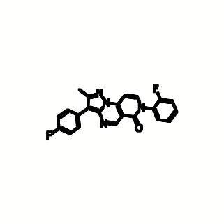 Cc1nn2c(ncc3c(=O)n(-c4ccccc4F)ccc32)c1-c1ccc(F)cc1